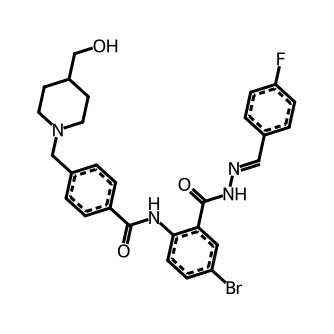 O=C(Nc1ccc(Br)cc1C(=O)NN=Cc1ccc(F)cc1)c1ccc(CN2CCC(CO)CC2)cc1